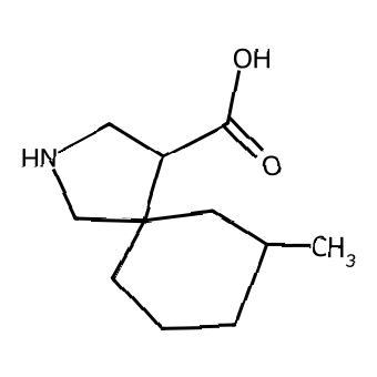 CC1CCCC2(CNCC2C(=O)O)C1